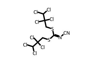 N#CN=C(SCC(Cl)(Cl)C(Cl)Cl)SCC(Cl)(Cl)C(Cl)Cl